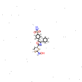 C=CC(SC(=S)N(C)O)c1nc(-c2ccccc2)c(-c2ccc(S(N)(=O)=O)cc2)o1